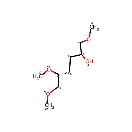 COC[C@@H](O)CC[C@H](COC)OC